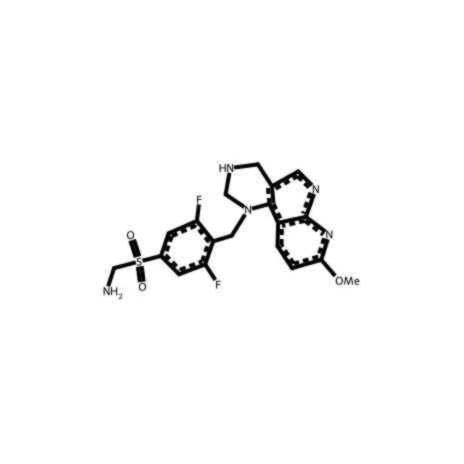 COc1ccc2c3c(cnc2n1)CNCN3Cc1c(F)cc(S(=O)(=O)CN)cc1F